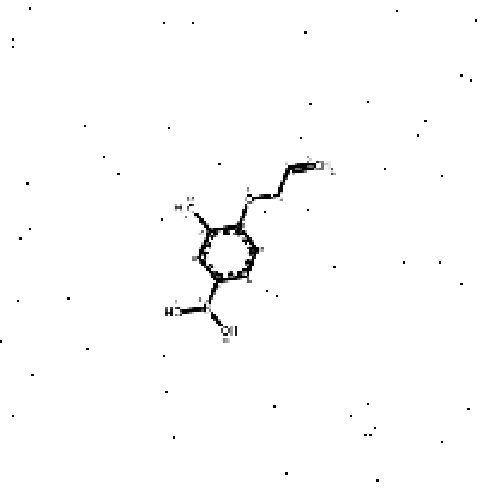 C=CCOc1ccc(B(O)O)cc1C